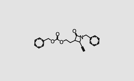 C#CC1C(CCOC(=O)OCc2ccccc2)C(=O)N1Cc1ccccc1